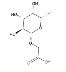 C[C@@H]1O[C@H](OCC(=O)O)[C@@H](O)[C@H](O)[C@@H]1O